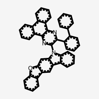 c1ccc(-c2ccccc2-c2nc3c4ccccc4c4ccccc4c3nc2-n2c3ccccc3c3cc4c(cc32)oc2ccccc24)cc1